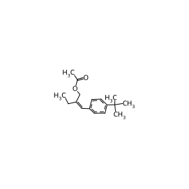 CCC(=Cc1ccc(C(C)(C)C)cc1)COC(C)=O